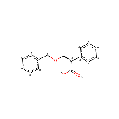 O=C(O)[C@@H](COCc1ccccc1)c1ccccc1